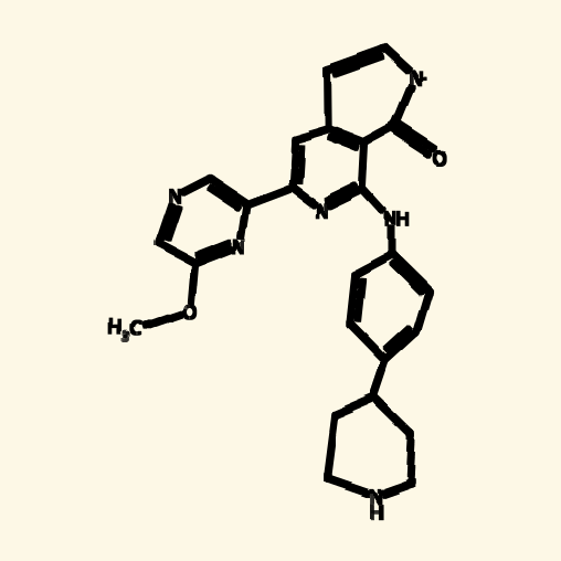 COc1cncc(-c2cc3c(c(Nc4ccc(C5CCNCC5)cc4)n2)C(=O)[N]C=C3)n1